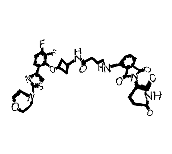 O=C1CCC(N2C(=O)c3cccc(NCCCC(=O)NC4CC(Oc5c(-c6csc(N7CCOCC7)n6)ccc(F)c5F)C4)c3C2=O)C(=O)N1